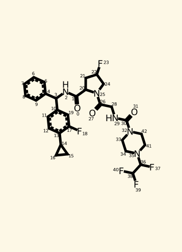 O=C(NC(c1ccccc1)c1ccc(C2CC2)c(F)c1)C1CC(F)CN1C(=O)CNC(=O)N1CCN(C(F)C(F)F)CC1